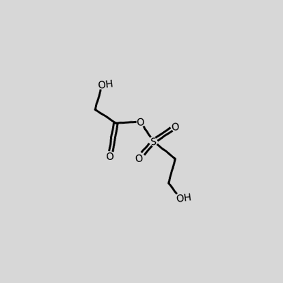 O=C(CO)OS(=O)(=O)CCO